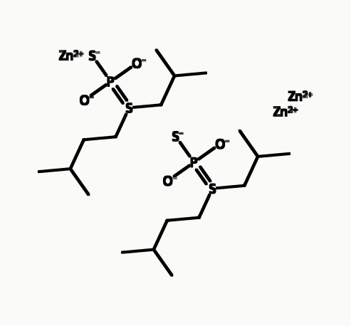 CC(C)CCS(CC(C)C)=P([O-])([O-])[S-].CC(C)CCS(CC(C)C)=P([O-])([O-])[S-].[Zn+2].[Zn+2].[Zn+2]